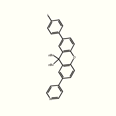 CCCCC1(CCCC)c2cc(-c3ccncc3)ccc2Oc2ccc(-c3ccc(I)cc3)cc21